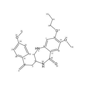 C=C(CC1CNc2cc(OCCC)c(OC)cc2C(=O)N1)c1ccc(OC)cc1